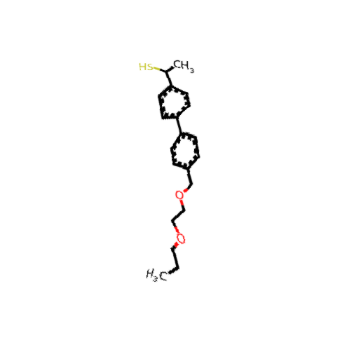 CCCOCCOCc1ccc(-c2ccc(C(C)S)cc2)cc1